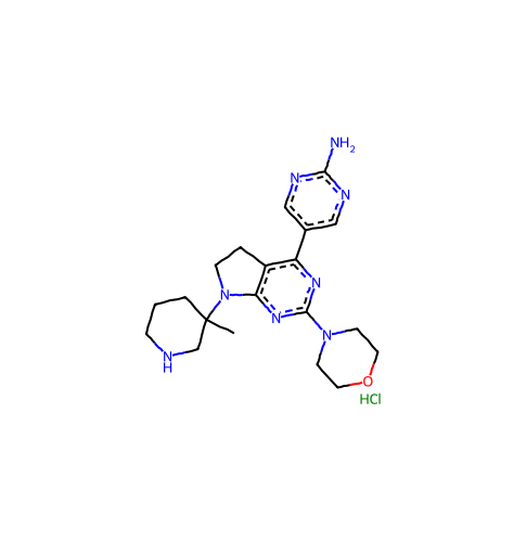 CC1(N2CCc3c(-c4cnc(N)nc4)nc(N4CCOCC4)nc32)CCCNC1.Cl